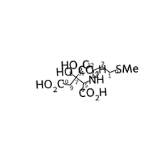 CSCC[C@H](NC(C(=O)O)C(O)(CC(=O)O)C(=O)O)C(=O)O